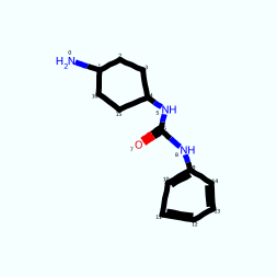 NC1CCC(NC(=O)Nc2ccccc2)CC1